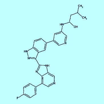 CC(C)CC(O)Nc1cncc(-c2ccc3[nH]nc(-c4nc5c(-c6ccc(F)cc6)cncc5[nH]4)c3c2)c1